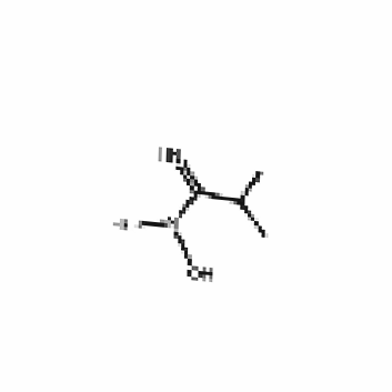 CC(C)C(=N)N(O)O